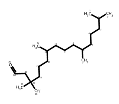 CC(C)CCCC(C)CCCC(C)CCCC(C)(O)CC=O